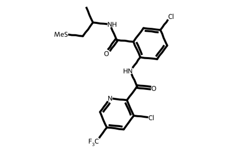 CSCC(C)NC(=O)c1cc(Cl)ccc1NC(=O)c1ncc(C(F)(F)F)cc1Cl